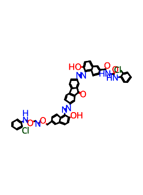 O=C(NC(=O)c1ccc2c(N=Nc3ccc4c(c3)C(=O)c3cc(N=Nc5c(O)ccc6cc(CO/N=C/ONc7ccccc7Cl)ccc56)ccc3-4)c(O)ccc2c1)Nc1ccccc1Cl